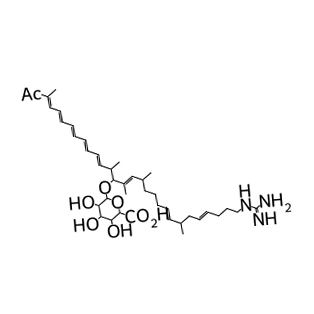 CC(=O)/C(C)=C/C=C/C=C/C=C/C=C/C(C)C(OC1OC(C(=O)O)C(O)C(O)C1O)/C(C)=C/C(C)CCC/C=C/C(C)C/C=C/CCCNC(=N)N